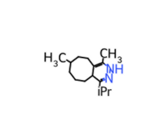 CC1=C2CCC(C)CCCC2C(C(C)C)=NN1